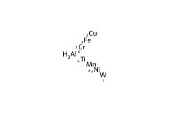 [AlH3].[Cr].[Cu].[Fe].[Mn].[Ni].[Ti].[W]